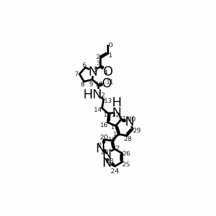 CC=CC(=O)N1CCCC1C(=O)NCCc1cc2c(-c3cnn4ncccc34)ccnc2[nH]1